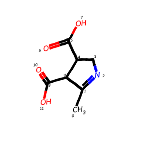 CC1=NCC(C(=O)O)C1C(=O)O